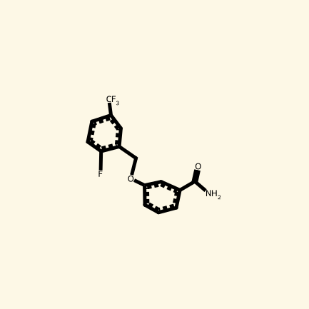 NC(=O)c1cccc(OCc2cc(C(F)(F)F)ccc2F)c1